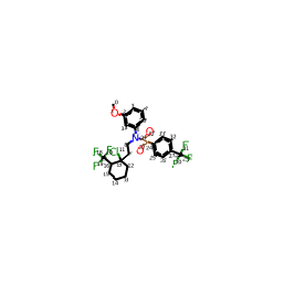 COc1cccc(N(CCC2(Cl)CCCCC2C(F)(F)F)S(=O)(=O)c2ccc(C(F)(F)F)cc2)c1